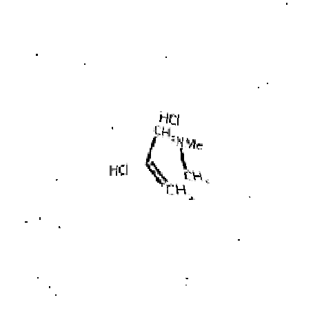 C=CC.CNC.Cl.Cl